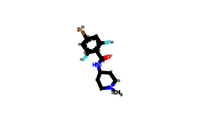 CN1CCC(NC(=O)c2c(F)cc(Br)cc2F)CC1